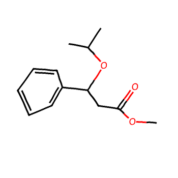 COC(=O)CC(OC(C)C)c1ccccc1